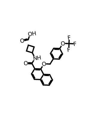 O=C(NC1CCC1)c1ccc2ccccc2c1OCc1ccc(OC(F)(F)F)cc1.O=CO